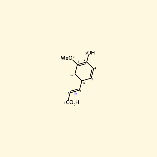 COC1=C(O)C=CC(/C=C/C(=O)O)C1